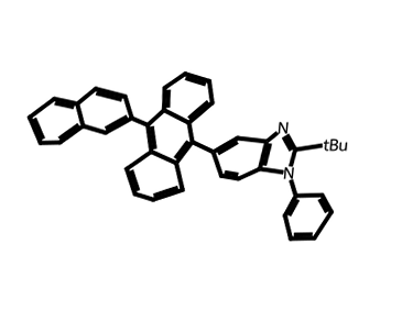 CC(C)(C)c1nc2cc(-c3c4ccccc4c(-c4ccc5ccccc5c4)c4ccccc34)ccc2n1-c1ccccc1